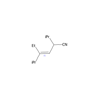 CC/C(=C\C(C#N)C(C)C)C(C)C